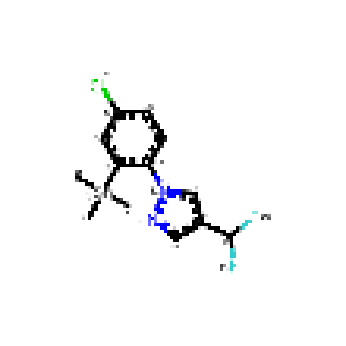 [CH3][Sn]([CH3])([CH3])[c]1cc(Cl)ccc1-n1cc(C(F)F)cn1